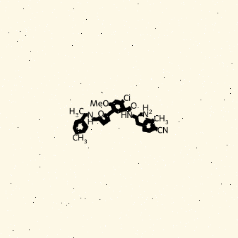 COc1cc(Cl)c(C(=O)N[C@@H](CN)Cc2ccc(C#N)c(C)c2)cc1-c1ccc(CN[C@H](C)c2ccc(C)cc2)o1